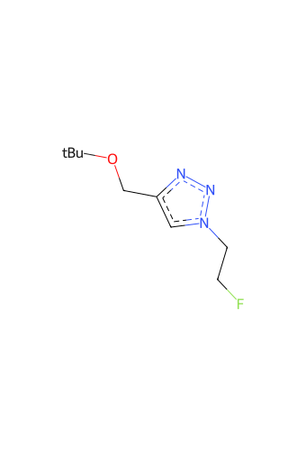 CC(C)(C)OCc1cn(CCF)nn1